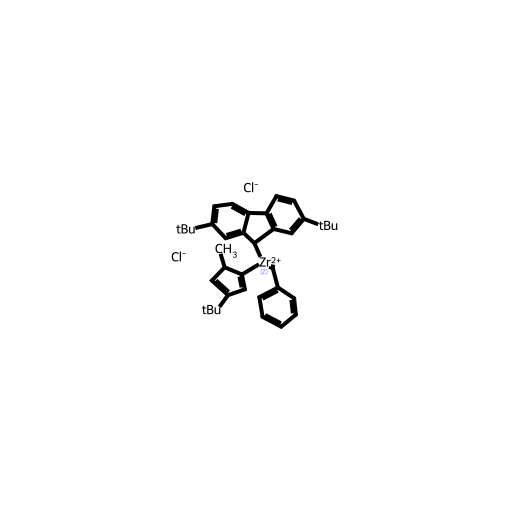 CC1C=C(C(C)(C)C)C=[C]1/[Zr+2](=[CH]\c1ccccc1)[CH]1c2cc(C(C)(C)C)ccc2-c2ccc(C(C)(C)C)cc21.[Cl-].[Cl-]